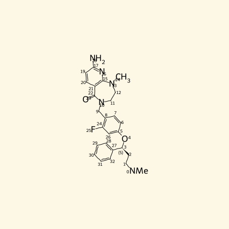 CNCC[C@H](Oc1ccc(CN2CCN(C)c3nc(N)ccc3C2=O)c(F)c1)c1ccccc1